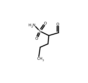 CCCC(C=O)S(N)(=O)=O